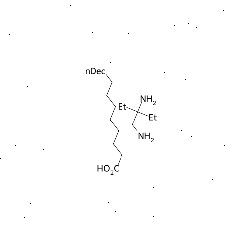 CCC(N)(CC)CN.CCCCCCCCCCCCCCCCCC(=O)O